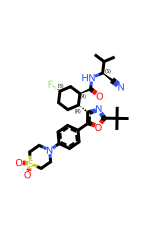 CC(C)[C@@H](C#N)NC(=O)[C@@H]1C[C@@H](F)CC[C@H]1c1nc(C(C)(C)C)oc1-c1ccc(N2CCS(=O)(=O)CC2)cc1